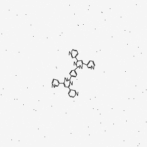 c1cncc(-c2cc(-c3cccnc3)nc(-c3ccc(-c4nc(-c5cccnc5)cc(-c5cccnc5)n4)cc3)n2)c1